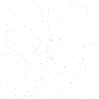 [C].[Fe].[Mo].[Ni]